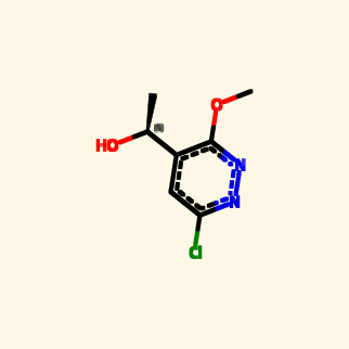 COc1nnc(Cl)cc1[C@H](C)O